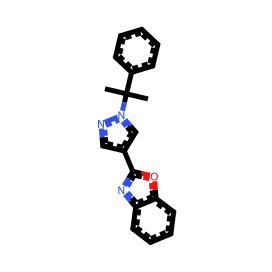 CC(C)(c1ccccc1)n1cc(-c2nc3ccccc3o2)cn1